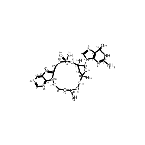 Nc1nc2c(ncn2[C@@H]2O[C@@H]3COP(S)OCCn4c(nc5cncnc54)COP(=O)(S)O[C@@H]2C3)c(=O)[nH]1